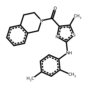 Cc1ccc(Nc2nc(C(=O)N3CCc4ccccc4C3)c(C)s2)c(C)c1